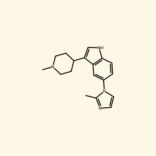 Cc1nccn1-c1ccc2[nH]cc(C3CCN(C)CC3)c2c1